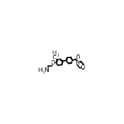 Cc1cc(-c2ccc(C(=O)N3CCOCC3)cc2)ccc1OCCN